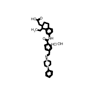 CCC1c2cc(NC(=O)c3ccc(C=NN4CCN(c5ccccc5)CC4)cc3)ccc2CCC1CC(=O)O.Cl.Cl